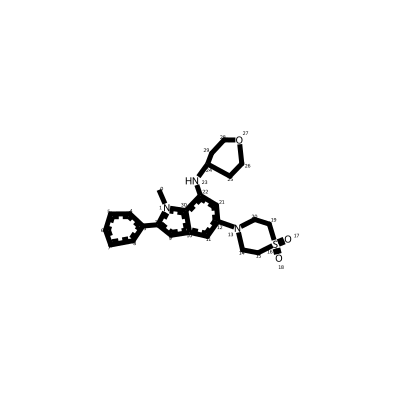 Cn1c(-c2ccccc2)cc2cc(N3CCS(=O)(=O)CC3)cc(NC3CCOCC3)c21